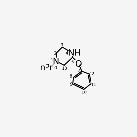 CCCN1CCNC(Oc2ccccc2)C1